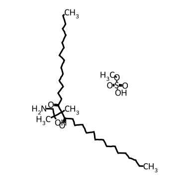 CCCCCCCCCCCCCCCC(=O)C(C)(C(=O)CCCCCCCCCCCCCCC)C(C)(O)CN.COS(=O)(=O)O